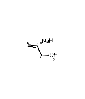 C=CCO.[NaH]